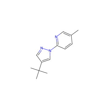 Cc1ccc(-n2cc(C(C)(C)C)cn2)nc1